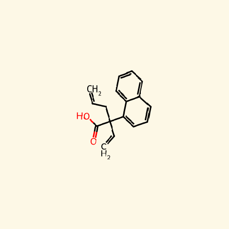 C=CCC(C=C)(C(=O)O)c1cccc2ccccc12